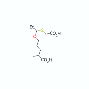 CCC(OCCCC(C)C(=O)O)SCC(=O)O